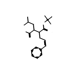 CC(C)CC(C(=O)O)C(C/C=C\c1ccccc1)C(=O)OC(C)(C)C